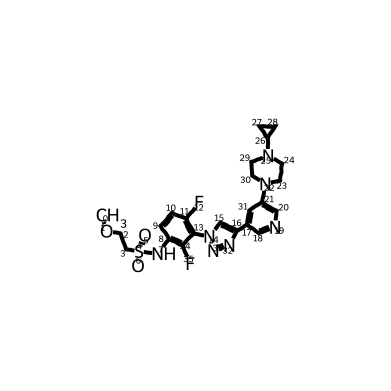 COCCS(=O)(=O)Nc1ccc(F)c(-n2cc(-c3cncc(N4CCN(C5CC5)CC4)c3)nn2)c1F